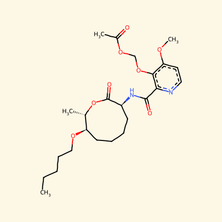 CCCCCO[C@@H]1CCCC[C@H](NC(=O)c2nccc(OC)c2OCOC(C)=O)C(=O)O[C@H]1C